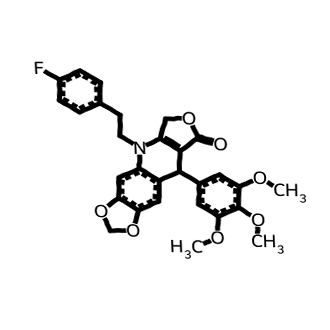 COc1cc(C2C3=C(COC3=O)N(CCc3ccc(F)cc3)c3cc4c(cc32)OCO4)cc(OC)c1OC